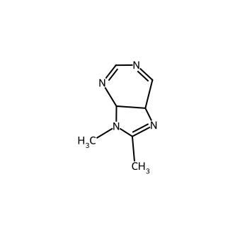 CC1=NC2C=NC=NC2N1C